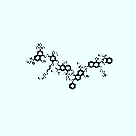 Cc1cc(N=Nc2c(S(=O)(=O)O)cc3c(S(=O)(=O)O)c(N=Nc4c(Nc5ccccc5)ccc5c(O)c(N=Nc6ccc7c(O)c(N=Nc8ccccc8S(=O)(=O)O)c(SOOO)cc7c6)c(S(=O)(=O)O)cc45)ccc3c2O)c(OCCCSOOO)cc1N=Nc1cc(S(=O)(=O)O)cc2cc(S(=O)(=O)O)cc(O)c12